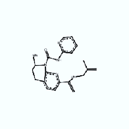 C=C(C)CNC(=C)c1ccc2c(n1)N(C(=O)Nc1ccccn1)C(CCCC)CC2